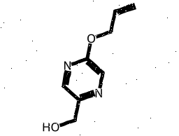 C=CCOc1cnc(CO)cn1